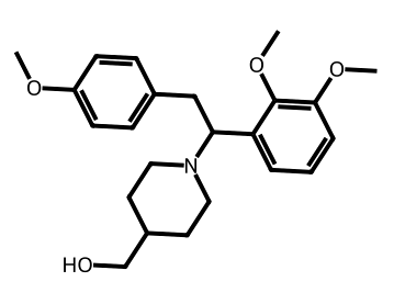 COc1ccc(CC(c2cccc(OC)c2OC)N2CCC(CO)CC2)cc1